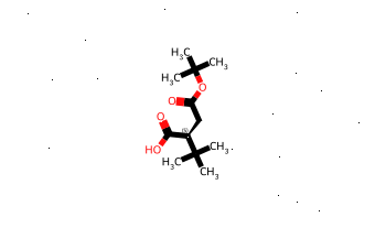 CC(C)(C)OC(=O)C[C@H](C(=O)O)C(C)(C)C